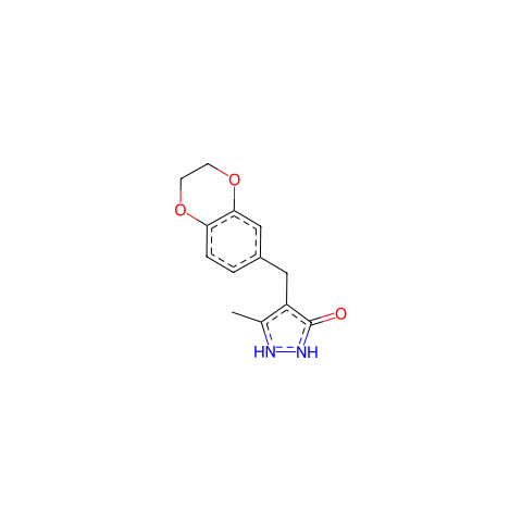 Cc1[nH][nH]c(=O)c1Cc1ccc2c(c1)OCCO2